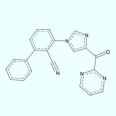 N#Cc1c(-c2ccccc2)cccc1-n1cnc(C(=O)c2ncccn2)c1